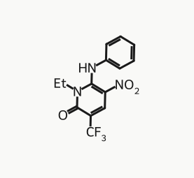 CCn1c(Nc2ccccc2)c([N+](=O)[O-])cc(C(F)(F)F)c1=O